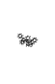 O=C(NNC1(c2ccccc2)C=C(c2ccccc2)c2ccccc21)c1cc2ccccc2cc1O